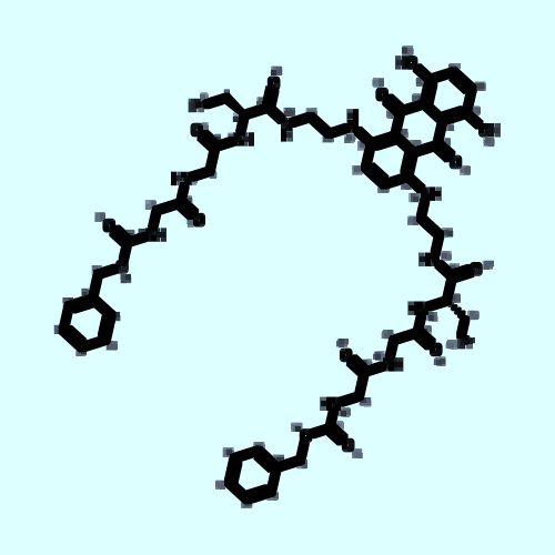 CC(C)C[C@H](NC(=O)CNC(=O)CNC(=O)OCc1ccccc1)C(=O)NCCNc1ccc(NCCNC(=O)[C@H](CC(C)C)NC(=O)CNC(=O)CNC(=O)OCc2ccccc2)c2c1C(=O)c1c(O)ccc(O)c1C2=O